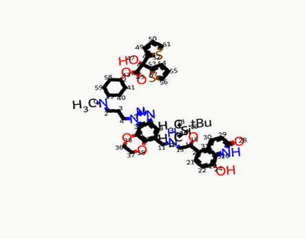 CN(CCCn1nnc2cc(CNCC(O[Si](C)(C)C(C)(C)C)c3ccc(O)c4[nH]c(=O)ccc34)c3c(c21)OCCO3)[C@H]1CC[C@H](OC(=O)C(O)(c2cccs2)c2cccs2)CC1